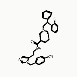 N#Cc1ccc(Cn2cncc2CCNC(=O)C2CCCN(CC(c3ccccc3)c3ccccc3Cl)C2)cc1